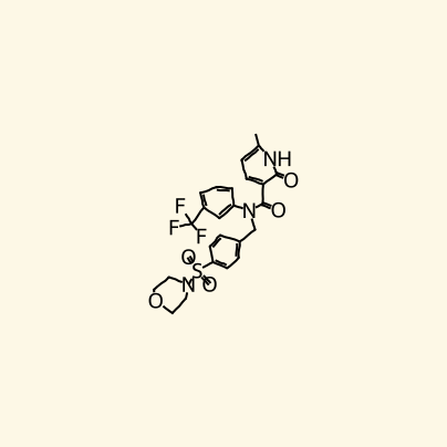 Cc1ccc(C(=O)N(Cc2ccc(S(=O)(=O)N3CCOCC3)cc2)c2cccc(C(F)(F)F)c2)c(=O)[nH]1